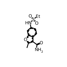 CCS(=O)(=O)Nc1ccc2c(C(N)=O)c(C)oc2c1